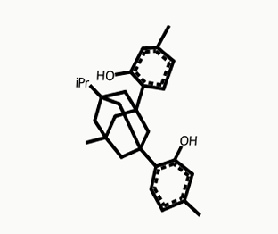 Cc1ccc(C23CC4(C)CC(c5ccc(C)cc5O)(C2)CC(C(C)C)(C4)C3)c(O)c1